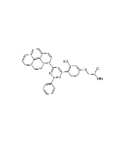 CCCCC(CC)COc1ccc(-c2cc(-c3ccc4ccc5cccc6ccc3c4c56)nc(-c3ccccc3)n2)c(O)c1